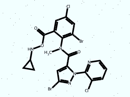 CN(C(=O)c1cc(Br)nn1-c1ncccc1Cl)c1c(Br)cc(Cl)cc1C(=O)ONC1CC1